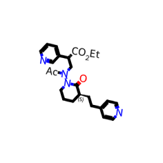 CCOC(=O)C(CN(C(C)=O)N1CCC[C@H](CCc2ccncc2)C1=O)c1cccnc1